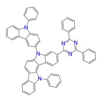 c1ccc(-c2nc(-c3ccccc3)nc(-c3ccc4c5c(ccc6c7ccccc7n(-c7ccccc7)c65)n(-c5ccc6c(c5)c5ccccc5n6-c5ccccc5)c4c3)n2)cc1